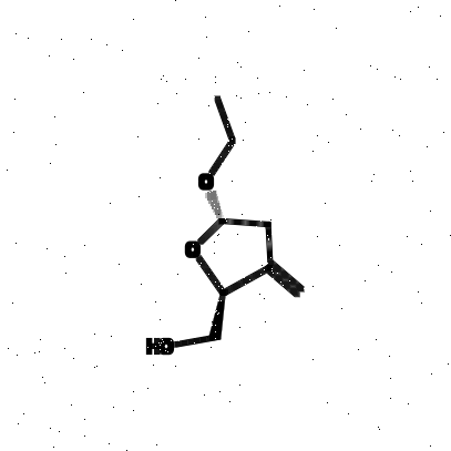 C=C1C[C@@H](OCC)O[C@@H]1CO